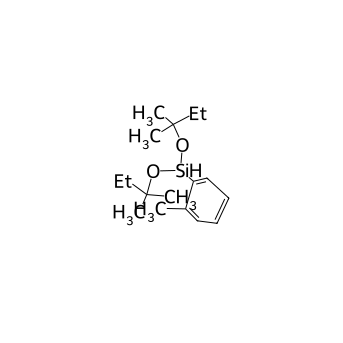 CCC(C)(C)O[SiH](OC(C)(C)CC)c1ccccc1C